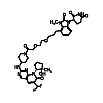 Cn1c(=O)n(C2CCC(=O)NC2=O)c2cccc(CCCOCCOCC(=O)N3CCC(Nc4ncc5cc(C(F)F)c(=O)n([C@@H]6CCC[C@@]6(C)O)c5n4)CC3)c21